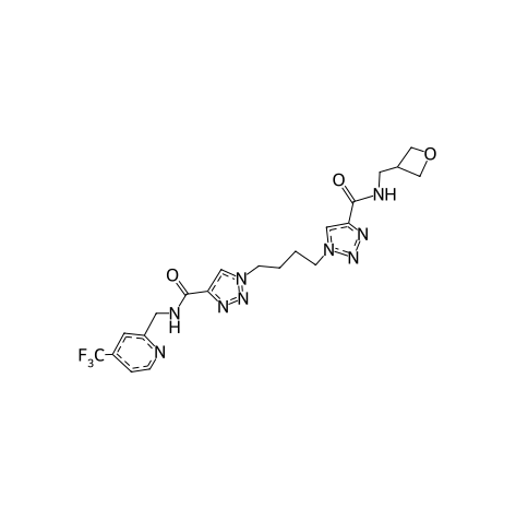 O=C(NCc1cc(C(F)(F)F)ccn1)c1cn(CCCCn2cc(C(=O)NCC3COC3)nn2)nn1